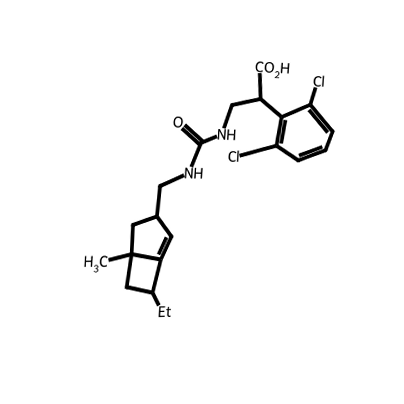 CCC1CC2(C)CC(CNC(=O)NCC(C(=O)O)c3c(Cl)cccc3Cl)C=C12